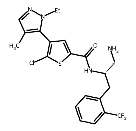 CCn1ncc(C)c1-c1cc(C(=O)N[C@H](CN)Cc2ccccc2C(F)(F)F)sc1Cl